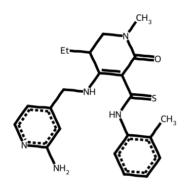 CCC1CN(C)C(=O)C(C(=S)Nc2ccccc2C)=C1NCc1ccnc(N)c1